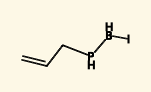 C=CCPBI